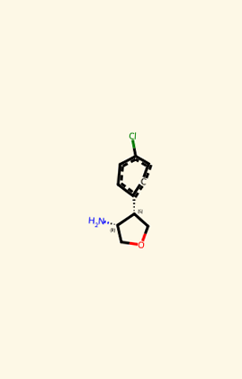 N[C@H]1COC[C@H]1c1ccc(Cl)cc1